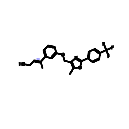 C/C(=C\CO)c1cccc(OCc2nc(-c3ccc(C(F)(F)F)cc3)oc2C)c1